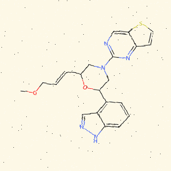 COC/C=C/C1CN(c2ncc3sccc3n2)CC(c2cccc3[nH]ncc23)O1